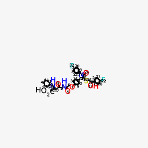 O=C(CNC(=O)COc1ccc([C@@H]2[C@@H](SC[C@@H](O)c3ccc(F)cc3)C(=O)N2c2ccc(F)cc2)cc1)C[C@@H](NC1CCCCC1)C(=O)O